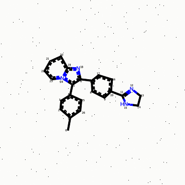 Cc1ccc(-c2c(-c3ccc(C4=NCCN4)cc3)nc3ccccn23)cc1